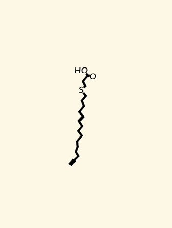 C#CCCCCCCCC=CCCCCSCCC(=O)O